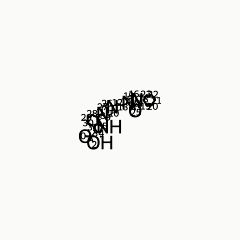 O=C(O)c1[c][nH]c2c(N3CCN(CCN4CCN(c5ccccc5)C4=O)CC3)cccc12